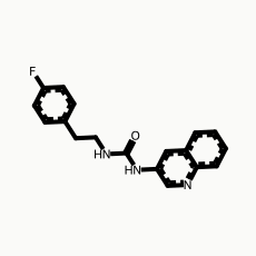 O=C(NCCc1ccc(F)cc1)Nc1cnc2ccccc2c1